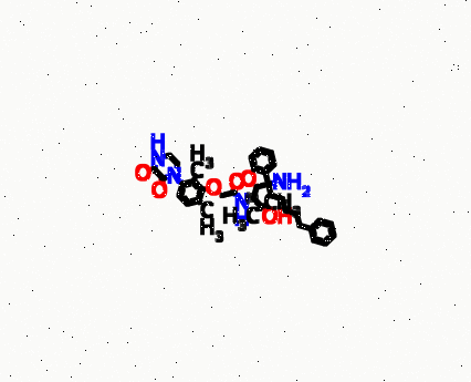 Cc1ccc(N2CCNC(=O)C2=O)c(C)c1OCC(=O)N[C@H](C(=O)C(N)(CCCCCc1ccccc1)c1ccccc1)C(C)(C)O